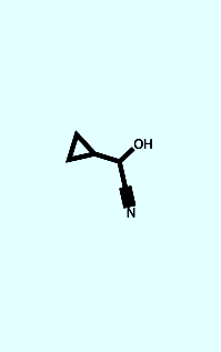 N#CC(O)C1CC1